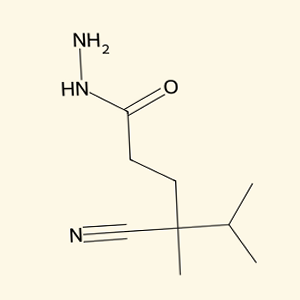 CC(C)C(C)(C#N)CCC(=O)NN